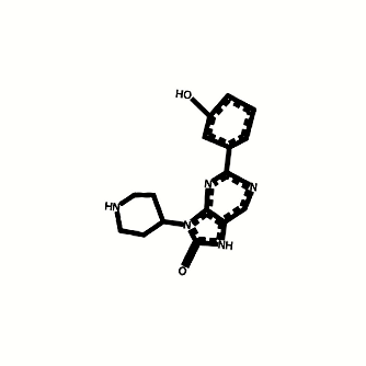 O=c1[nH]c2cnc(-c3cccc(O)c3)nc2n1C1CCNCC1